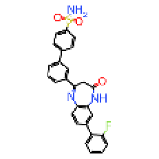 NS(=O)(=O)c1ccc(-c2cccc(C3=Nc4ccc(-c5ccccc5F)cc4NC(=O)C3)c2)cc1